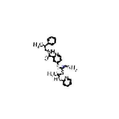 C=C(Nc1ccccn1)S/C(=C\N)Sc1ccnc(C(=O)NCC(C)c2ccccc2)c1